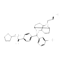 C=CCN1C2CCC3C1CCC2N3C(c1ccc(C(=O)NC2CCCC2)cc1)c1cccc(O)c1